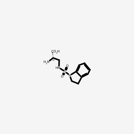 N[C@@H](CNS(=O)(=O)N1CCc2ccccc21)C(=O)O